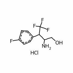 Cl.NC(CO)C(c1ccc(F)cc1)C(F)(F)F